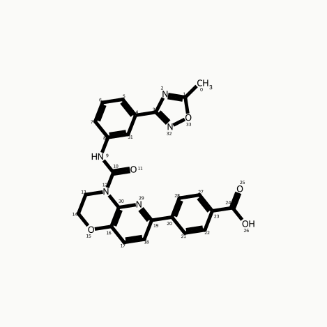 Cc1nc(-c2cccc(NC(=O)N3CCOc4ccc(-c5ccc(C(=O)O)cc5)nc43)c2)no1